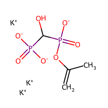 C=C(C)OP(=O)([O-])C(O)P(=O)([O-])[O-].[K+].[K+].[K+]